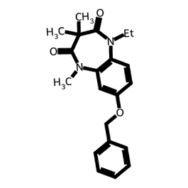 CCN1C(=O)C(C)(C)C(=O)N(C)c2cc(OCc3ccccc3)ccc21